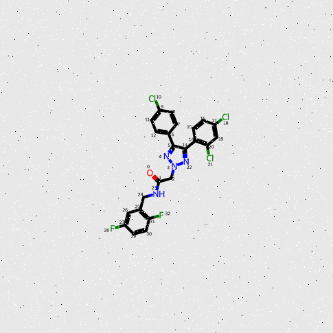 O=C(Cn1nc(-c2ccc(Cl)cc2)c(-c2ccc(Cl)cc2Cl)n1)NCc1cc(F)ccc1F